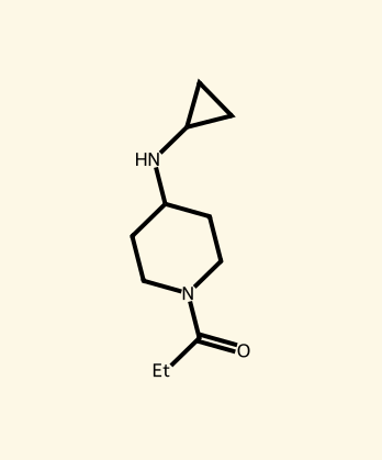 CCC(=O)N1CCC(NC2CC2)CC1